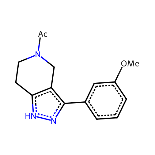 COc1cccc(-c2n[nH]c3c2CN(C(C)=O)CC3)c1